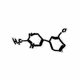 Cc1ncc(-c2c[c]cc(Cl)c2)cn1